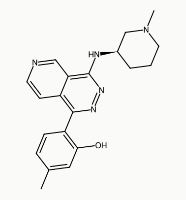 Cc1ccc(-c2nnc(N[C@@H]3CCCN(C)C3)c3cnccc23)c(O)c1